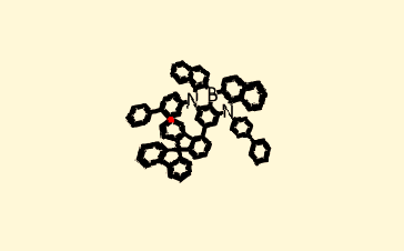 c1ccc(-c2ccc(N3c4cc(-c5cccc6c5-c5ccccc5C65c6ccccc6-c6ccccc65)cc5c4B(c4ccc6ccccc6c43)c3ccc4ccccc4c3N5c3ccc(-c4ccccc4)cc3)cc2)cc1